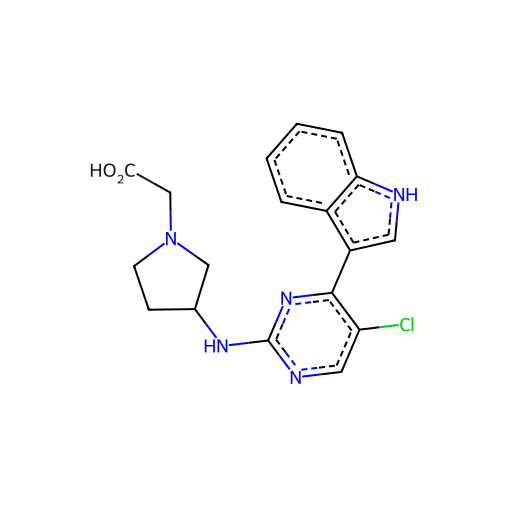 O=C(O)CN1CCC(Nc2ncc(Cl)c(-c3c[nH]c4ccccc34)n2)C1